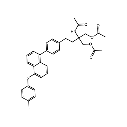 CC(=O)NC(CCc1ccc(-c2cccc3c(Sc4ccc(C)cc4)cccc23)cc1)(COC(C)=O)COC(C)=O